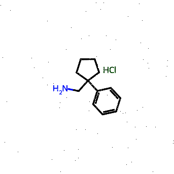 Cl.NCC1(c2ccccc2)CCCC1